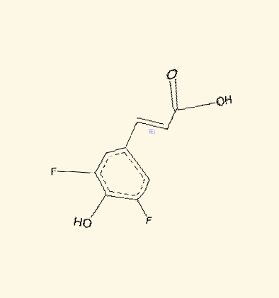 O=C(O)/C=C/c1cc(F)c(O)c(F)c1